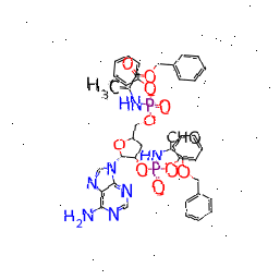 CC(NP(=O)(OCC1CC(OP(=O)(NC(C=O)COCc2ccccc2)Oc2ccccc2)[C@H](n2cnc3c(N)ncnc32)O1)Oc1ccccc1)C(=O)OCc1ccccc1